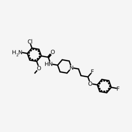 COc1cc(N)c(Cl)cc1C(=O)NC1CCN(CCC(F)Oc2ccc(F)cc2)CC1